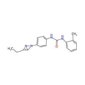 CCc1c2n(-c3ccc(NC(=O)Nc4ccccc4C)cc3)n1-2